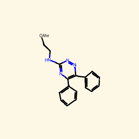 COCCNc1nnc(-c2ccccc2)c(-c2ccccc2)n1